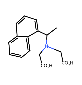 CC(c1cccc2ccccc12)N(CC(=O)O)CC(=O)O